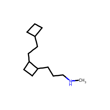 CNCCCC1CCC1CCC1CCC1